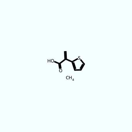 C.C=C(C(=O)O)c1cccs1